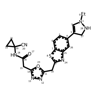 CCN1C=C(c2ccc3sc(Cc4nnc(CC(=O)NC5(C#N)CC5)o4)nc3c2)CN1